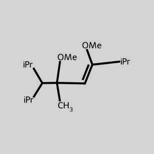 CO/C(=C\C(C)(OC)C(C(C)C)C(C)C)C(C)C